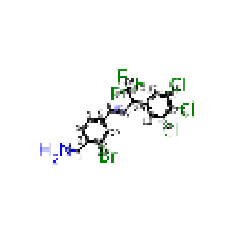 NCc1ccc(/C=C/C(c2cc(Cl)c(Cl)c(Cl)c2)C(F)(F)F)cc1Br